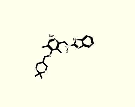 Cc1cnc(C[S@+]([O-])c2nc3ccccc3[nH]2)c(C)c1OCC1COC(C)(C)OC1.[Na+]